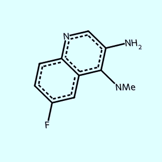 CNc1c(N)cnc2ccc(F)cc12